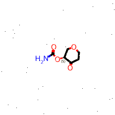 NC(=O)O[C@H]1COCCC1=O